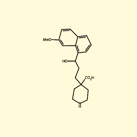 COc1ccc2cccc(C(O)CCC3(C(=O)O)CCNCC3)c2c1